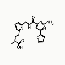 CN(CCc1cccc(CNC(=O)c2cc(-c3ccco3)nc(N)n2)n1)C(=O)O